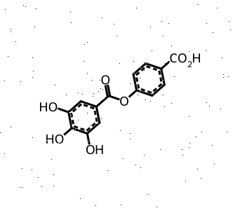 O=C(O)c1ccc(OC(=O)c2cc(O)c(O)c(O)c2)cc1